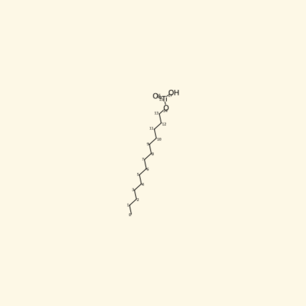 CCCCCCCCCCCCCC[O][Ti](=[O])[OH]